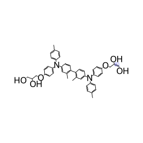 Cc1ccc(N(c2ccc(OC/C(O)=C\O)cc2)c2ccc(-c3ccc(N(c4ccc(C)cc4)c4ccc(OCC(O)CO)cc4)cc3C)c(C)c2)cc1